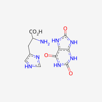 NC(Cc1c[nH]cn1)C(=O)O.O=c1[nH]c(=O)c2[nH]c(=O)[nH]c2[nH]1